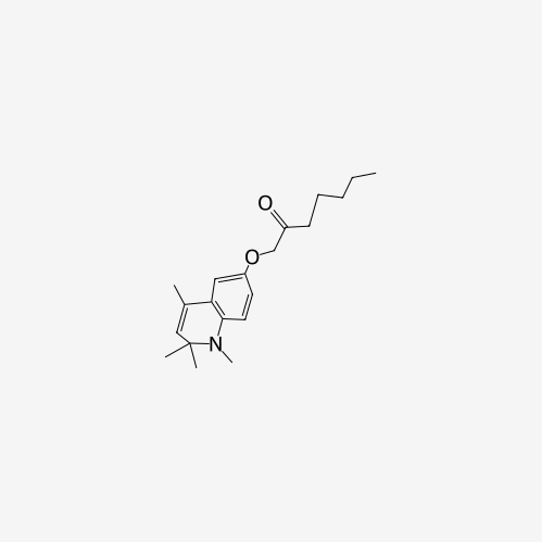 CCCCCC(=O)COc1ccc2c(c1)C(C)=CC(C)(C)N2C